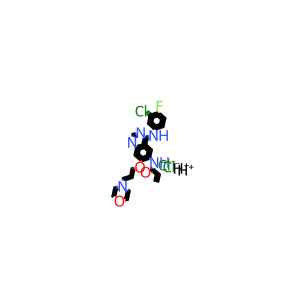 C=CC(=O)Nc1cc2c(Nc3ccc(F)c(Cl)c3)ncnc2cc1OCCCN1CCOCC1.[Cl-].[Cl-].[H+].[H+]